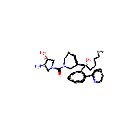 COCCCC[C@@](O)(c1ccccc1-c1ccccn1)C1CCCN(C(=O)N2C[C@@H](N)[C@@H](O)C2)C1